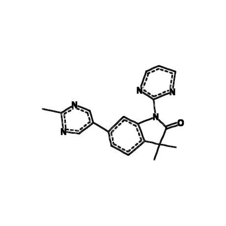 Cc1ncc(-c2ccc3c(c2)N(c2ncccn2)C(=O)C3(C)C)cn1